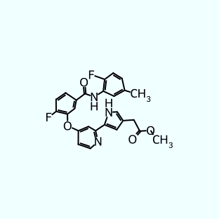 COC(=O)Cc1c[nH]c(-c2cc(Oc3cc(C(=O)Nc4cc(C)ccc4F)ccc3F)ccn2)c1